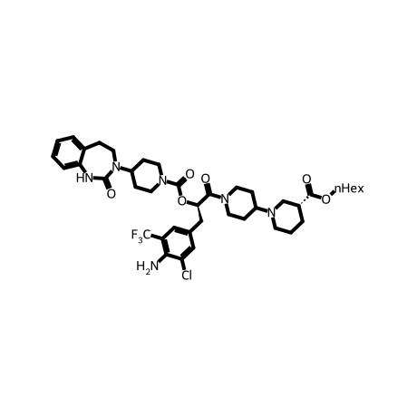 CCCCCCOC(=O)[C@@H]1CCCN(C2CCN(C(=O)[C@@H](Cc3cc(Cl)c(N)c(C(F)(F)F)c3)OC(=O)N3CCC(N4CCc5ccccc5NC4=O)CC3)CC2)C1